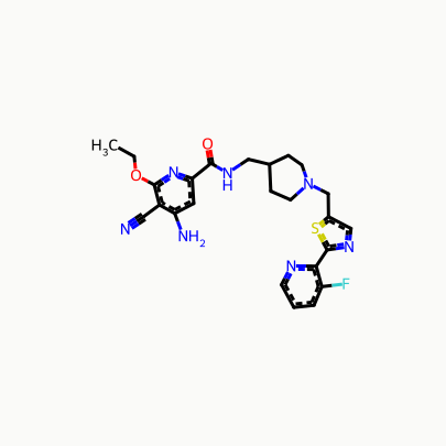 CCOc1nc(C(=O)NCC2CCN(Cc3cnc(-c4ncccc4F)s3)CC2)cc(N)c1C#N